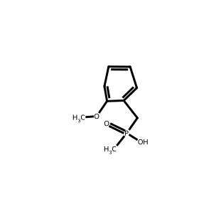 COc1ccccc1CP(C)(=O)O